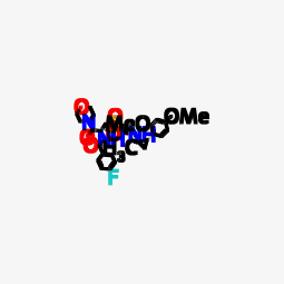 COc1ccc([C@@H]2CC2(C)NCCS(=O)(=O)C[C@@H](NC(=O)c2ccc(F)cc2)C(=O)N2CCOCC2)c(OC)c1